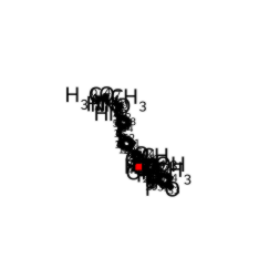 C[C@H](N)C(=O)N[C@@H](C)C(=O)Nc1cccc(Cc2ccc([C@@H]3O[C@@H]4C[C@H]5[C@@H]6C[C@H](F)C7=CC(=O)C=C[C@]7(C)[C@@]6(F)[C@@H](O)C[C@]5(C)[C@]4(C(=O)CO)O3)cc2)c1